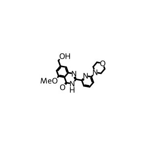 COc1cc(CO)cc2nc(-c3cccc(N4CCOCC4)n3)[nH]c(=O)c12